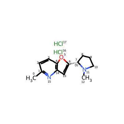 Cc1ccc2oc([C@@H]3CCCN3C)cc2n1.Cl.Cl